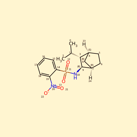 CC(C)[C@@H]1[C@H]2CC[C@H](C2)[C@H]1NS(=O)(=O)c1ccccc1[N+](=O)[O-]